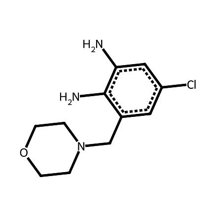 Nc1cc(Cl)cc(CN2CCOCC2)c1N